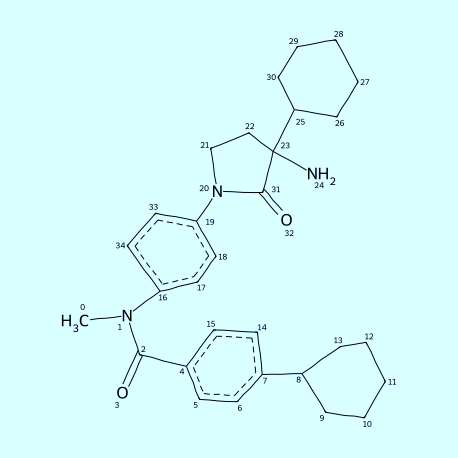 CN(C(=O)c1ccc(C2CCCCC2)cc1)c1ccc(N2CCC(N)(C3CCCCC3)C2=O)cc1